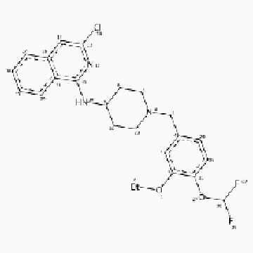 CCOc1cc(CN2CCC(Nc3nc(Cl)cc4ccccc34)CC2)ccc1OC(F)F